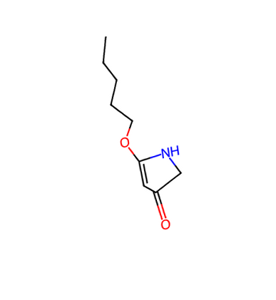 CCCCCOC1=CC(=O)CN1